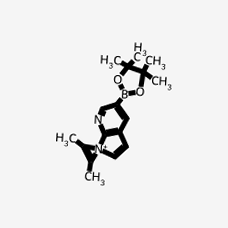 CC1=C(C)[N+]12C=Cc1cc(B3OC(C)(C)C(C)(C)O3)cnc12